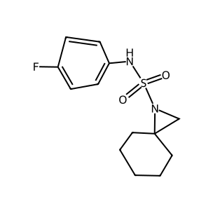 O=S(=O)(Nc1ccc(F)cc1)N1CC12CCCCC2